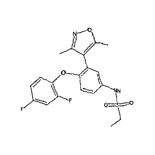 CCS(=O)(=O)Nc1ccc(Oc2ccc(F)cc2F)c(-c2c(C)noc2C)c1